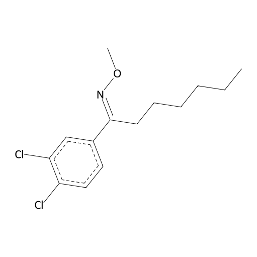 CCCCCCC(=NOC)c1ccc(Cl)c(Cl)c1